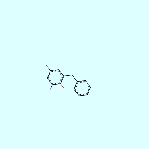 Nc1cc(Cl)cc(Cc2ccccc2)c1O